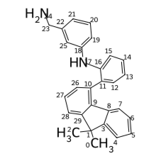 CC1(C)c2ccccc2-c2c(-c3ccccc3Nc3cccc(CN)c3)cccc21